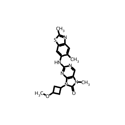 COC1CC(n2c(=O)n(C)c3cnc(Nc4cc5sc(C)nc5cc4C)nc32)C1